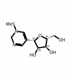 CSN1C=C([C@@H]2O[C@H](CO)[C@@H](O)[C@H]2O)C=NC1